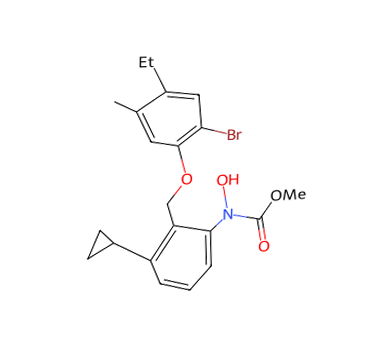 CCc1cc(Br)c(OCc2c(C3CC3)cccc2N(O)C(=O)OC)cc1C